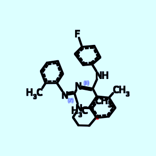 Cc1ccccc1/N=C(\N=C(\Nc1ccc(F)cc1)c1c(C)cccc1C)N1CCCCC1C